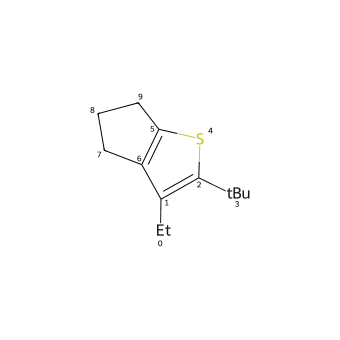 CCc1c(C(C)(C)C)sc2c1CCC2